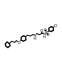 O=C(CCNCCCc1ccc(OCCCc2ccccc2)cc1)NS(=O)(=O)c1ccc(Cl)cc1